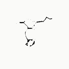 CCCNN[C@@H](Cc1c[nH]cn1)C(=O)O